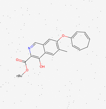 CCCCOC(=O)c1ncc2cc(OC3=CC=CCC=C3)c(C)cc2c1O